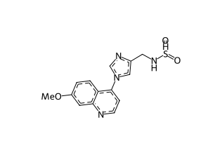 COc1ccc2c(-n3cnc(CN[SH](=O)=O)c3)ccnc2c1